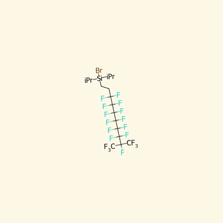 CC(C)[Si](Br)(CCC(F)(F)C(F)(F)C(F)(F)C(F)(F)C(F)(F)C(F)(F)C(F)(C(F)(F)F)C(F)(F)F)C(C)C